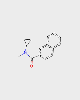 CN(C(=O)c1ccc2ccccc2c1)C1CC1